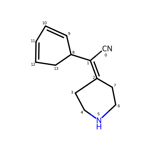 N#CC(=C1CCNCC1)C1C=CC=CC1